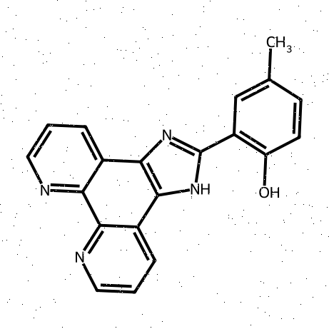 Cc1ccc(O)c(-c2nc3c4cccnc4c4ncccc4c3[nH]2)c1